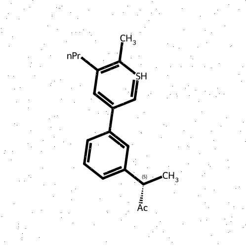 CCCC1=C(C)[SH]=CC(c2cccc([C@H](C)C(C)=O)c2)=C1